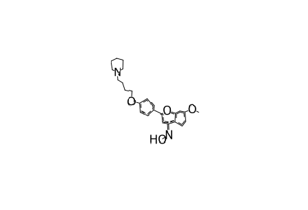 COc1ccc2/c(=N/O)cc(-c3ccc(OCCCCN4CCCCC4)cc3)oc2c1